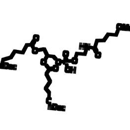 CCCCCCCCCCCCCCCC(=O)OCC(COP(=O)(O)OCCNC(=O)CCCCOC)OC(=O)CCCCCCCCCCCCCCC